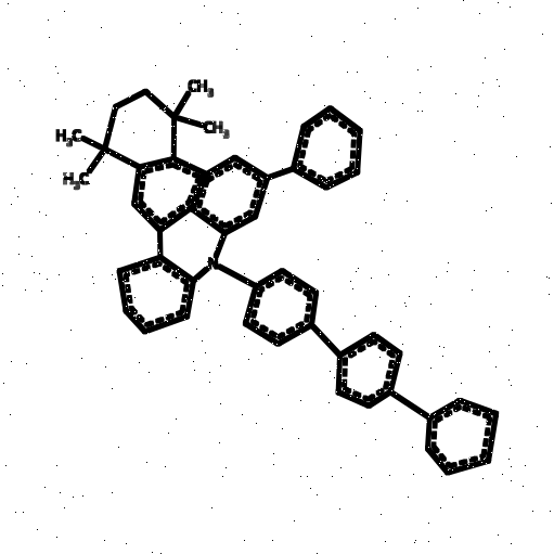 CC1(C)CCC(C)(C)c2cc(-c3ccccc3N(c3ccc(-c4ccc(-c5ccccc5)cc4)cc3)c3cccc(-c4ccccc4)c3)ccc21